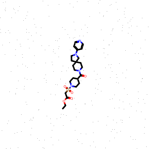 CCOC(=O)CS(=O)(=O)N1CCC(C(=O)N2CCC3(CC2)CCN(c2ccncc2)C3)CC1